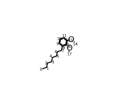 CCCCCCCCc1cccc(OC)c1OC